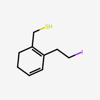 SCC1=C(CCI)C=CCC1